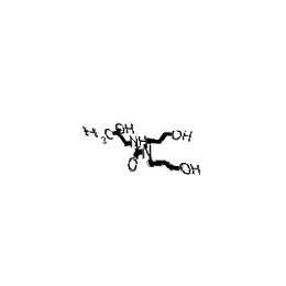 CC(O)CNC(=O)N(CCCO)CCCO